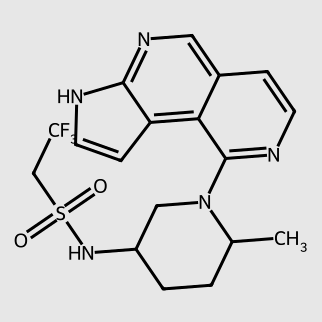 CC1CCC(NS(=O)(=O)CC(F)(F)F)CN1c1nccc2cnc3[nH]ccc3c12